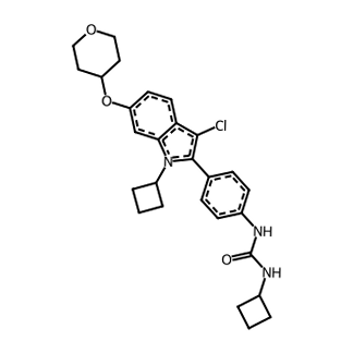 O=C(Nc1ccc(-c2c(Cl)c3ccc(OC4CCOCC4)cc3n2C2CCC2)cc1)NC1CCC1